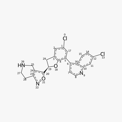 Clc1cc2c(c(-c3ccnc4cc(Cl)ccc34)c1)O[C@@H](c1onc3c1CNCC3)C2